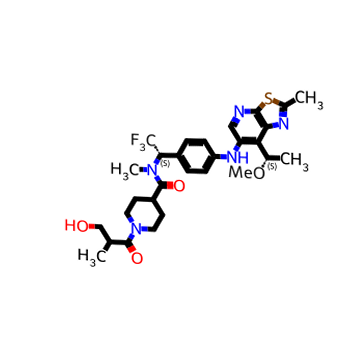 CO[C@@H](C)c1c(Nc2ccc([C@H](N(C)C(=O)C3CCN(C(=O)C(C)CO)CC3)C(F)(F)F)cc2)cnc2sc(C)nc12